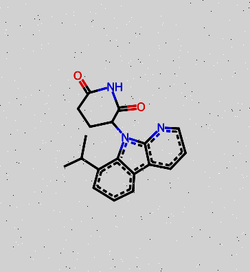 CC(C)c1cccc2c3cccnc3n(C3CCC(=O)NC3=O)c12